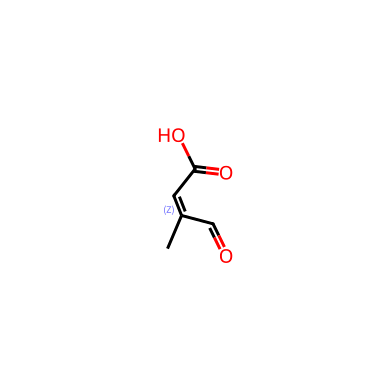 C/C(C=O)=C/C(=O)O